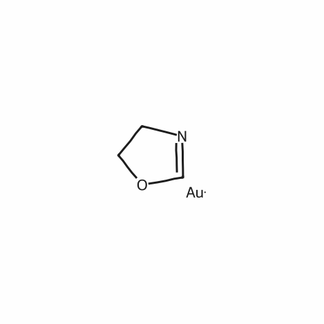 C1=NCCO1.[Au]